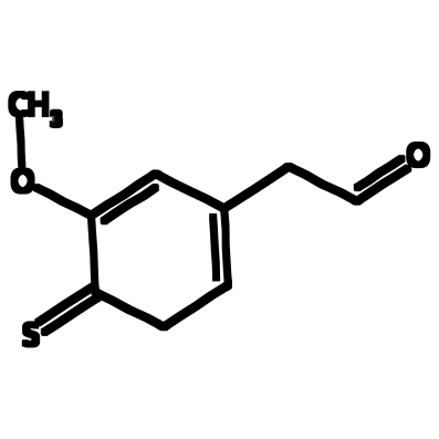 COC1=CC(CC=O)=CCC1=S